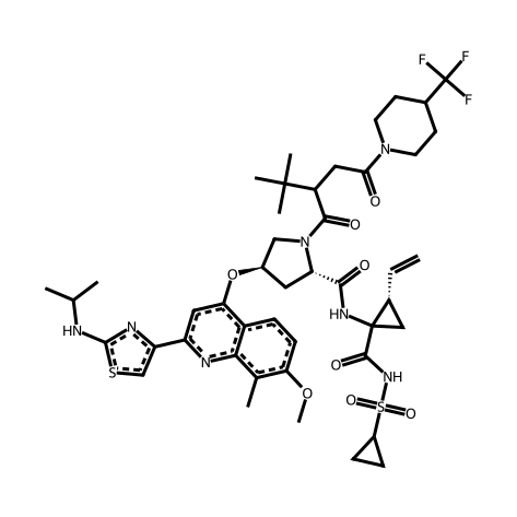 C=C[C@@H]1CC1(NC(=O)[C@@H]1C[C@@H](Oc2cc(-c3csc(NC(C)C)n3)nc3c(C)c(OC)ccc23)CN1C(=O)C(CC(=O)N1CCC(C(F)(F)F)CC1)C(C)(C)C)C(=O)NS(=O)(=O)C1CC1